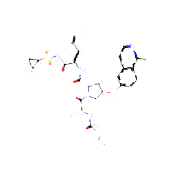 C=C/C=C(/NC(=O)[C@@H]1C[C@@H](Oc2ccc3c(Cl)nccc3c2)CN1C(=O)[C@@H](NC(=O)OC(C)(C)C)C(C)(C)C)C(=O)NS(=O)(=O)C1CC1